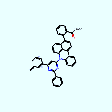 C=C/C=C(\C=C/C)c1cc(N2c3ccccc3-c3ccc(-c4ccccc4C(=O)OC)c4cccc2c34)nc(-c2ccccc2)n1